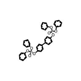 O=P(Oc1ccccc1)(Oc1ccccc1)Oc1ccc(-c2ccc(OP(=O)(Oc3ccccc3)Oc3ccccc3)cc2)cc1